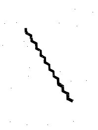 CCCCC=CCCCCCCCCCCCCCCC